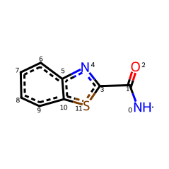 [NH]C(=O)c1nc2ccccc2s1